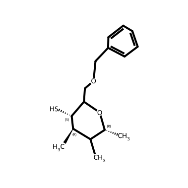 CC1[C@@H](C)[C@H](S)C(COCc2ccccc2)O[C@@H]1C